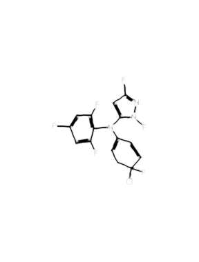 Fc1cc(F)c(N(C2=CCC(F)(Cl)C=C2)c2cc(F)nn2F)c(F)c1